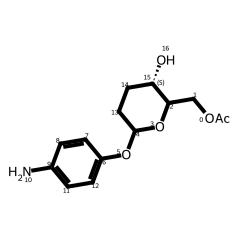 CC(=O)OCC1OC(Oc2ccc(N)cc2)CC[C@@H]1O